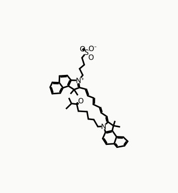 CC(C)C(=O)CCCCCN1\C(=C/C=C/C=C/C=C/C2=[N+](CCCCS(=O)(=O)[O-])c3ccc4ccccc4c3C2(C)C)C(C)(C)c2c1ccc1ccccc21